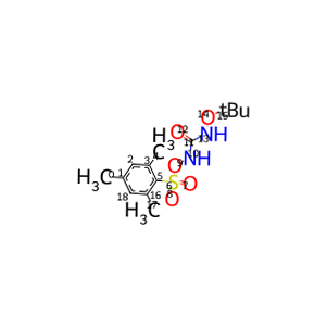 Cc1cc(C)c(S(=O)(=O)ONC(=O)NOC(C)(C)C)c(C)c1